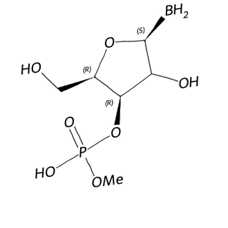 B[C@@H]1O[C@H](CO)[C@H](OP(=O)(O)OC)C1O